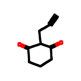 C#CCC1C(=O)CCCC1=O